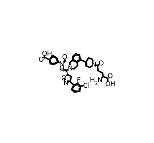 N[C@@H](CCC(=O)N1CC=C(c2cccc3c2CCN(C(=O)[C@H]2CC(c4cccc(Cl)c4F)=NO2)[C@@H]3C(=O)Nc2ccc(C(=O)O)cc2)CC1)C(=O)O